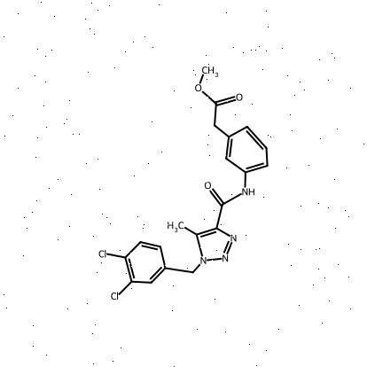 COC(=O)Cc1cccc(NC(=O)c2nnn(Cc3ccc(Cl)c(Cl)c3)c2C)c1